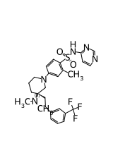 Cc1cc(N2CCC[C@@](CCc3cccc(C(F)(F)F)c3)(N(C)C)C2)ccc1S(=O)(=O)Nc1ccncn1